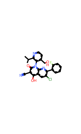 CC(C)c1nccc(CO)c1-n1c(=O)c(C#N)c(O)c2cc(Cl)c(-c3ccccc3F)nc21